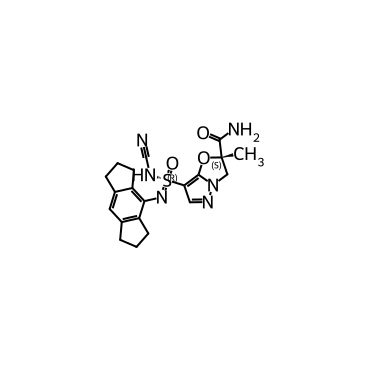 C[C@@]1(C(N)=O)Cn2ncc([S@](=O)(=Nc3c4c(cc5c3CCC5)CCC4)NC#N)c2O1